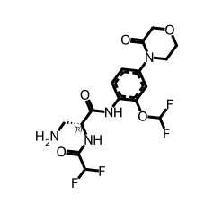 NC[C@@H](NC(=O)C(F)F)C(=O)Nc1ccc(N2CCOCC2=O)cc1OC(F)F